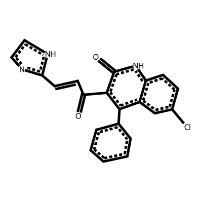 O=C(/C=C/c1ncc[nH]1)c1c(-c2ccccc2)c2cc(Cl)ccc2[nH]c1=O